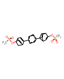 O=S(=O)(OC1=CC2CCC1C=C2c1ccc(C2=CC3CCC2C=C3OS(=O)(=O)C(F)(F)F)cc1)C(F)(F)F